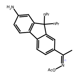 CCCC1(CCC)c2cc(N)ccc2-c2ccc(/C(C)=N\OC(C)=O)cc21